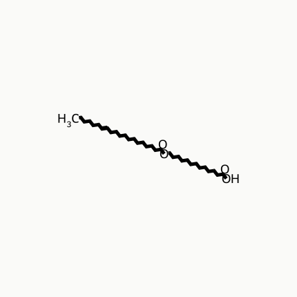 CCCCCCC=CCCCCCCCCCCCC(=O)OCCCCCCCCCCCCC(=O)O